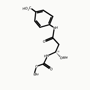 CO[C@@H](CC(=O)Nc1ccc(C(=O)O)cc1)NC(=O)OC(C)(C)C